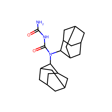 NC(=O)NC(=O)N(C1C2CC3CC(C2)CC1C3)C1C2CC3CC(C2)CC1C3